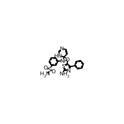 Nc1nc(-c2ccccc2)c(OC2(Nc3cccc(S(N)(=O)=O)c3)C=CN=CN2)s1